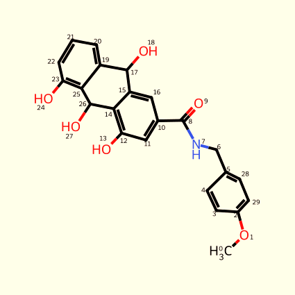 COc1ccc(CNC(=O)c2cc(O)c3c(c2)C(O)c2cccc(O)c2C3O)cc1